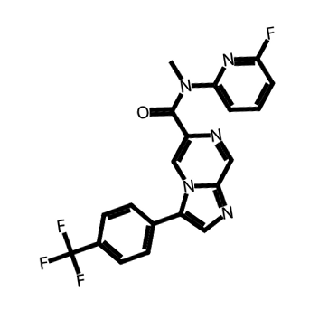 CN(C(=O)c1cn2c(-c3ccc(C(F)(F)F)cc3)cnc2cn1)c1cccc(F)n1